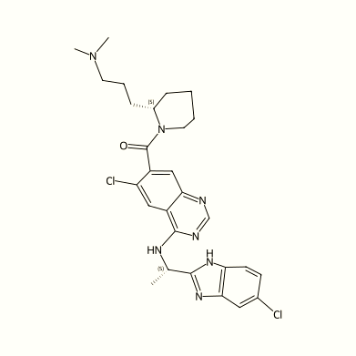 C[C@H](Nc1ncnc2cc(C(=O)N3CCCC[C@H]3CCCN(C)C)c(Cl)cc12)c1nc2cc(Cl)ccc2[nH]1